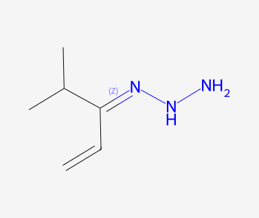 C=C/C(=N\NN)C(C)C